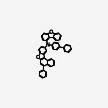 c1ccc(-c2ccc(N(c3ccc4oc5cc(-c6ccccc6)c6ccccc6c5c4c3)c3cccc4oc5ccccc5c34)cc2)cc1